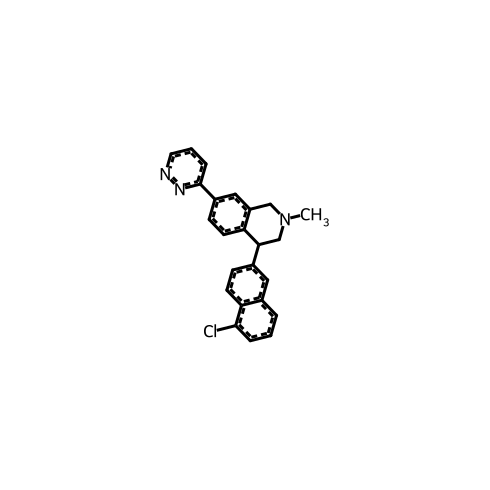 CN1Cc2cc(-c3cccnn3)ccc2C(c2ccc3c(Cl)cccc3c2)C1